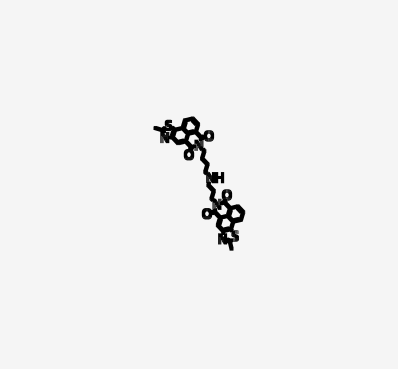 Cc1nc2cc3c4c(cccc4c2s1)C(=O)N(CCCCNCCCN1C(=O)c2cccc4c2c(cc2nc(C)sc24)C1=O)C3=O